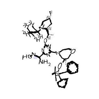 [2H]C([2H])([2H])C([2H])([2H])N1C[C@H](F)C[C@H]1[C@H](C)Oc1nc(/C(N)=N/O)nc(N2CCOC[C@@](C)(O[Si](c3ccccc3)(c3ccccc3)C(C)(C)C)C2)n1